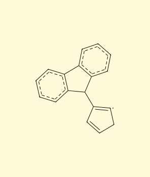 [C]1=C(C2c3ccccc3-c3ccccc32)C=CC1